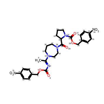 CC(=NC(=O)OCc1ccc([N+](=O)[O-])cc1)N1CCCN(C(=O)C2C[CH]CN2C(=O)OCc2ccc([N+](=O)[O-])cc2)CC1